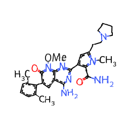 COn1c(=O)c(-c2c(C)cccc2C)cc2c(N)nc(-c3cc(CCN4CCCC4)n(C)c3C(N)=O)nc21